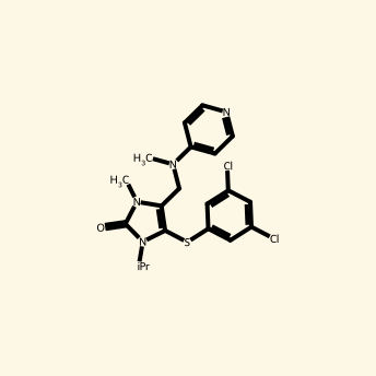 CC(C)n1c(Sc2cc(Cl)cc(Cl)c2)c(CN(C)c2ccncc2)n(C)c1=O